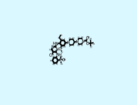 CCc1cc(N2CCC(N3CCN(C(=O)OC(C)(C)C)CC3)CC2)cc(OC)c1Nc1ncc(Cl)c(Nc2ccccc2P(C)(C)=O)n1